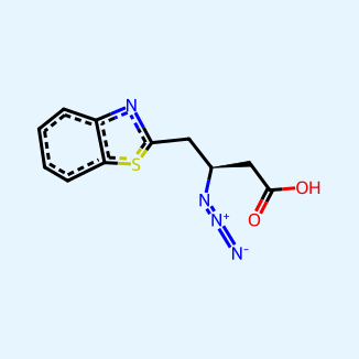 [N-]=[N+]=N[C@H](CC(=O)O)Cc1nc2ccccc2s1